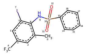 Cc1cc(C(F)(F)F)cc(I)c1NS(=O)(=O)c1ccccc1